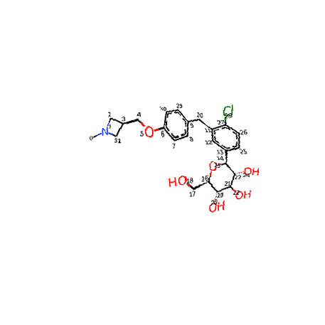 CN1CC(COc2ccc(Cc3cc([C@@H]4O[C@H](CO)[C@@H](O)C(O)[C@H]4O)ccc3Cl)cc2)C1